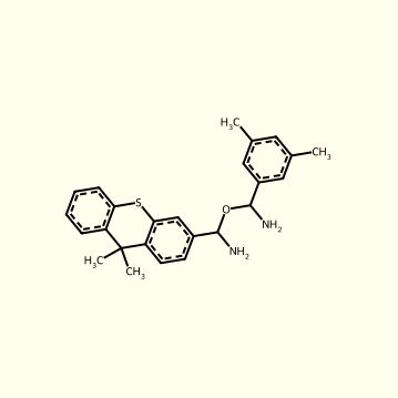 Cc1cc(C)cc(C(N)OC(N)c2ccc3c(c2)Sc2ccccc2C3(C)C)c1